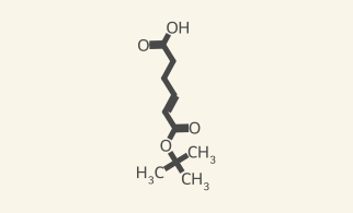 CC(C)(C)OC(=O)C=CCCC(=O)O